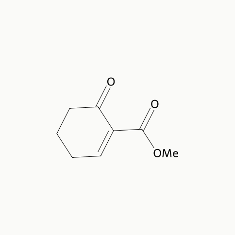 COC(=O)C1=CCCCC1=O